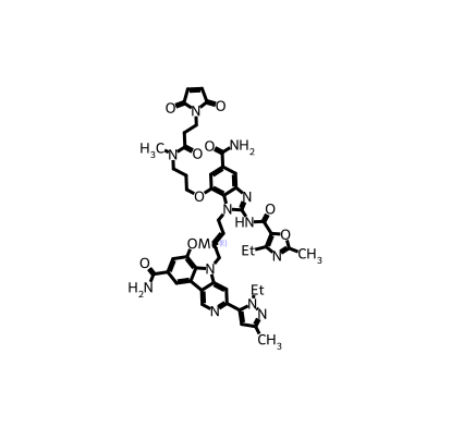 CCc1nc(C)oc1C(=O)Nc1nc2cc(C(N)=O)cc(OCCCN(C)C(=O)CCN3C(=O)C=CC3=O)c2n1C/C=C/Cn1c2cc(-c3cc(C)nn3CC)ncc2c2cc(C(N)=O)cc(OC)c21